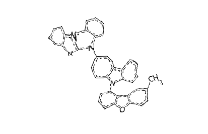 Cc1ccc2oc3cccc(-n4c5ccccc5c5cc(-n6c7ccccc7n7c8ccccc8nc67)ccc54)c3c2c1